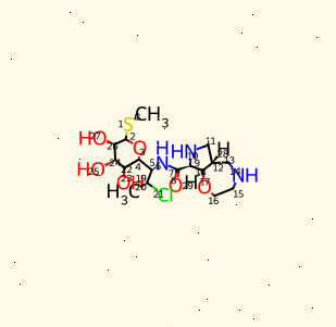 CSC1O[C@H]([C@H](NC(=O)[C@H]2NC[C@@H]3CNCCO[C@H]32)[C@H](C)Cl)C(O)[C@@H](O)[C@H]1O